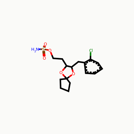 NS(=O)(=O)OCCC1OC2(CCCC2)OC1Cc1ccccc1Cl